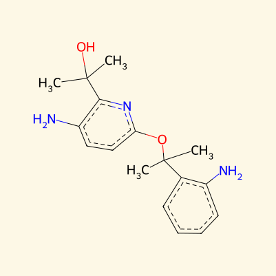 CC(C)(O)c1nc(OC(C)(C)c2ccccc2N)ccc1N